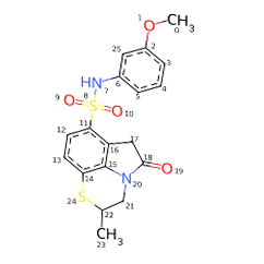 COc1cccc(NS(=O)(=O)c2ccc3c4c2CC(=O)N4CC(C)S3)c1